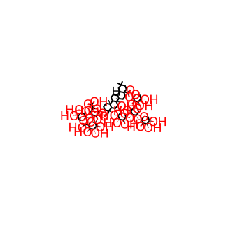 CC1(C)CC[C@]2(C(=O)O[C@@H]3OC[C@H](O)[C@@H](O)C3O[C@@H]3OC[C@H](O[C@@H]4OC[C@@H](O)[C@@H](O)C4O)[C@H](O[C@@H]4OC(CO)[C@@H](O)[C@@H](O)C4O)C3O)CC[C@]3(C)C(=CCC4[C@@]5(C)CC[C@H](O[C@@H]6OC(C(=O)O)[C@@H](O)[C@@H](O[C@@H]7OC[C@H](O)[C@H](O)C7O)C6O[C@@H]6OC(CO)[C@H](O)[C@@H](O)C6O)[C@@](C)(C=O)C5CC[C@]43C)[C@@H]2C1